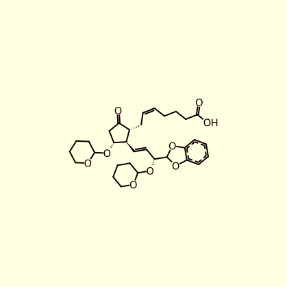 O=C(O)CCC/C=C\C[C@H]1C(=O)C[C@@H](OC2CCCCO2)[C@@H]1/C=C/[C@@H](OC1CCCCO1)C1Oc2ccccc2O1